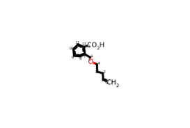 C=CCCCOCc1ccccc1C(=O)O